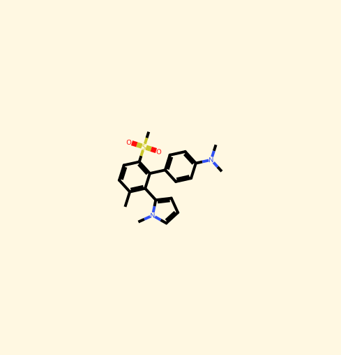 Cc1ccc(S(C)(=O)=O)c(-c2ccc(N(C)C)cc2)c1-c1cccn1C